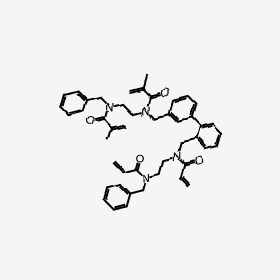 C=CC(=O)N(CCN(Cc1ccccc1-c1cccc(CN(CCN(Cc2ccccc2)C(=O)C(=C)C)C(=O)C(=C)C)c1)C(=O)C=C)Cc1ccccc1